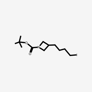 CC(C)(C)OC(=O)N1CC(CCCCI)C1